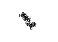 CN(C(=O)Oc1cc(F)c2c(c1)C(=O)N(C1CCC(=O)NC1=O)C2)c1cc(Cl)cc(OC(F)F)c1